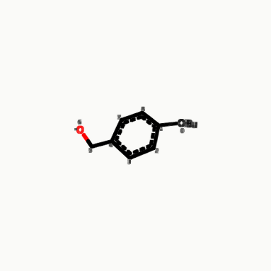 CC(C)COc1ccc(C[O])cc1